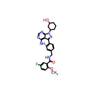 COc1ccc(F)cc1C(=O)NCc1ccc(-c2nn(C3CCCC(O)C3)c3ncnc(N)c23)cc1